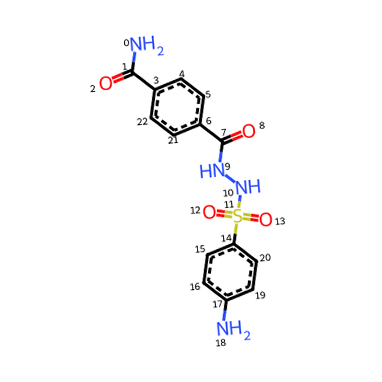 NC(=O)c1ccc(C(=O)NNS(=O)(=O)c2ccc(N)cc2)cc1